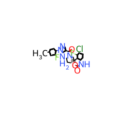 Cc1ccc(-n2ncc(C(=O)N3CCC[C@@]4(C3)OC(=O)Nc3ccc(Cl)c(F)c34)c2N)c(F)c1